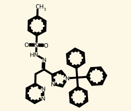 Cc1ccc(S(=O)(=O)N/N=C(\Cc2cccnn2)c2cn(C(c3ccccc3)(c3ccccc3)c3ccccc3)cn2)cc1